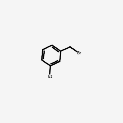 [CH2]Cc1cccc(CBr)c1